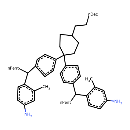 CCCCCCCCCCCCC1CCC(c2ccc(C(CCCCC)c3ccc(N)cc3C)cc2)(c2ccc(C(CCCCC)c3ccc(N)cc3C)cc2)CC1